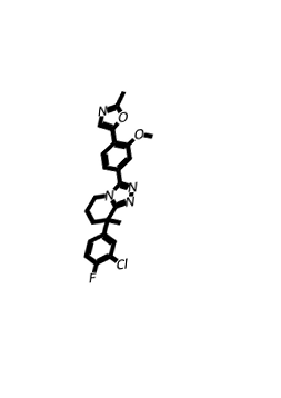 COc1cc(-c2nnc3n2CCCC3(C)c2ccc(F)c(Cl)c2)ccc1-c1cnc(C)o1